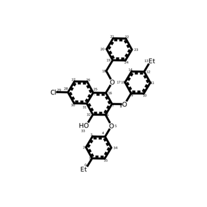 CCc1ccc(Oc2c(Oc3ccc(CC)cc3)c(OCc3ccccc3)c3ccc(Cl)cc3c2O)cc1